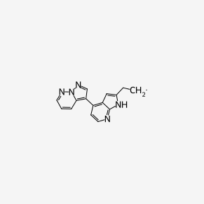 [CH2]Cc1cc2c(-c3cnn4ncccc34)ccnc2[nH]1